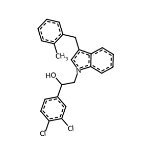 Cc1ccccc1Cc1cn(CC(O)c2ccc(Cl)c(Cl)c2)c2ccccc12